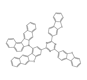 c1ccc2cc3c(cc2c1)sc1cc(-c2nc(-c4ccc5c(c4)sc4ccccc45)nc(-c4ccc5c(c4)sc4ccccc45)n2)cc(-n2c4cc5ccccc5cc4c4c5ccccc5ccc42)c13